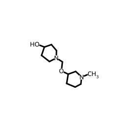 CN1CCCC(OCN2CCC(O)CC2)C1